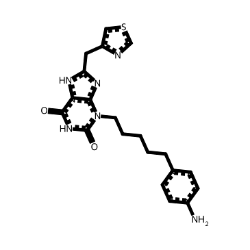 Nc1ccc(CCCCCn2c(=O)[nH]c(=O)c3[nH]c(Cc4cscn4)nc32)cc1